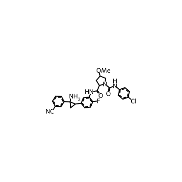 COC1CC(C(=O)Nc2cc(C3CC3(N)c3cccc(C#N)c3)ccc2F)N(C(=O)Nc2ccc(Cl)cc2)C1